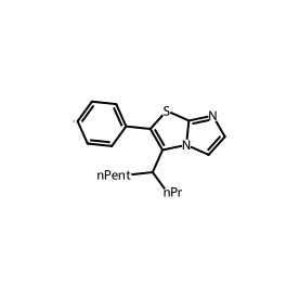 CCCCCC(CCC)c1c(-c2cc[c]cc2)sc2nccn12